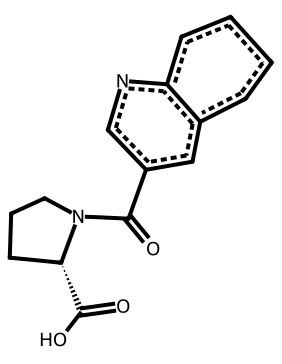 O=C(O)[C@@H]1CCCN1C(=O)c1cnc2ccccc2c1